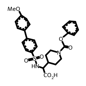 COc1ccc(-c2ccc(S(=O)(=O)NC(C(=O)O)C3CCN(C(=O)Oc4ccccc4)CC3)cc2)cc1